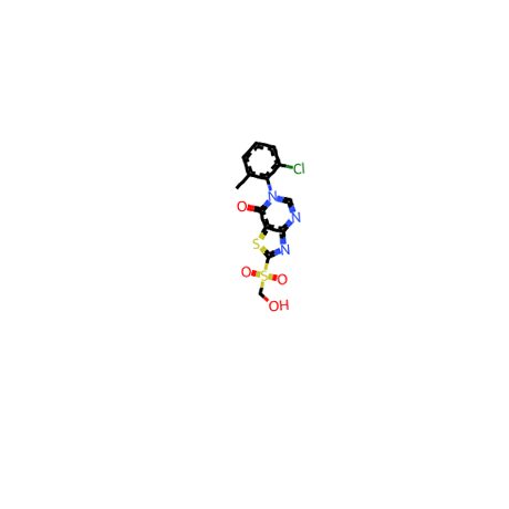 Cc1cccc(Cl)c1-n1cnc2nc(S(=O)(=O)CO)sc2c1=O